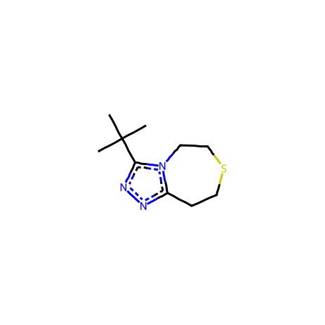 CC(C)(C)c1nnc2n1CCSCC2